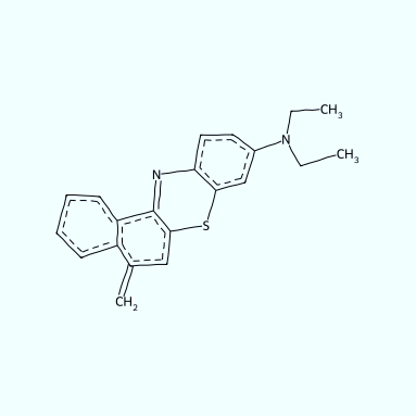 C=c1cc2c(c3ccccc13)=Nc1ccc(N(CC)CC)cc1S2